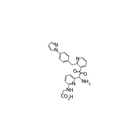 NC(c1cccc(NCC(=O)O)n1)S(=O)(=O)c1cccnc1Cc1ccc(-n2cccn2)cc1